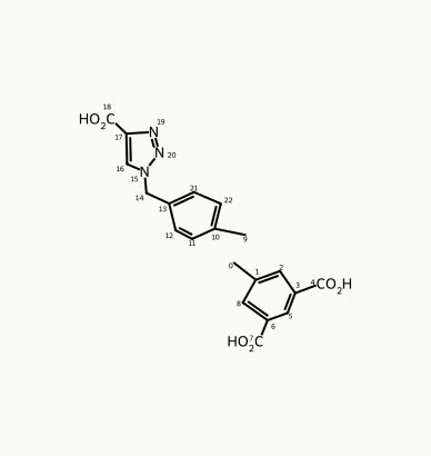 Cc1cc(C(=O)O)cc(C(=O)O)c1.Cc1ccc(Cn2cc(C(=O)O)nn2)cc1